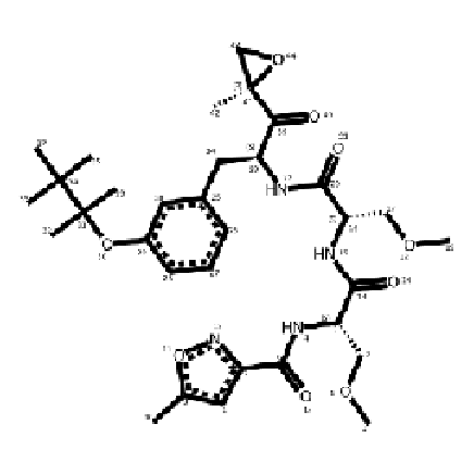 COC[C@H](NC(=O)c1cc(C)on1)C(=O)N[C@@H](COC)C(=O)N[C@@H](Cc1cccc(OC(C)(C)C(C)(C)C)c1)C(=O)[C@@]1(C)CO1